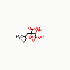 CC(C)CC(O)(C(=O)O)C(O)C(=O)O